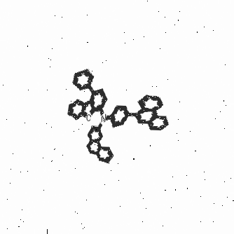 c1ccc(-c2ccc(N(c3ccc(-c4cc5ccccc5c5ccccc45)cc3)c3ccc4ccc5ccccc5c4c3)c3oc4ccccc4c23)cc1